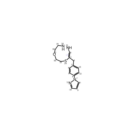 C1=C(/Cc2ccc(-n3cccn3)cc2)SCCOCCNN/1